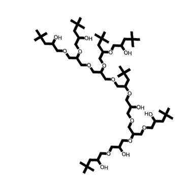 CC(C)(C)CC(O)COCC(O)COC(COCC(O)COC(COCC(COCC(COCC(O)CC(C)(C)C)OCC(O)CC(C)(C)C)OCC(CC(C)(C)C)OCC(O)CC(C)(C)C)CC(C)(C)C)COCC(O)CC(C)(C)C